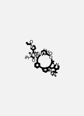 C=CC(=O)N1CCC(C(=O)N(C)[C@H](C(=O)N[C@H]2Cc3cccc(c3)-c3ccc4c(c3)c(c(-c3cnccc3C(C)(C)N(C)C)n4CC)CC(C)(C)COC(=O)[C@@H]3CCCN(N3)C2=O)C(C)C)C1